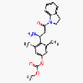 COC(=O)Oc1cc(C)c(C(N)CC(=O)N2CCc3ccccc32)c(C)c1